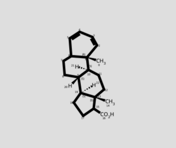 C[C@]12C=CC=CC1CC[C@@H]1[C@@H]2CC[C@]2(C)C(C(=O)O)CC[C@@H]12